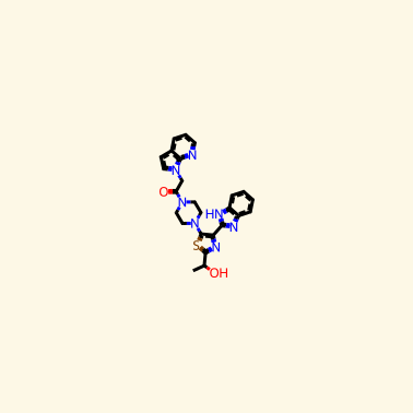 CC(O)c1nc(-c2nc3ccccc3[nH]2)c(N2CCN(C(=O)Cn3ccc4cccnc43)CC2)s1